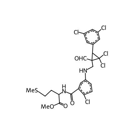 COC(=O)C(CCSC)NC(=O)c1cc(NCC2(C=O)C(c3cc(Cl)cc(Cl)c3)C2(Cl)Cl)ccc1Cl